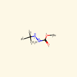 CCC(NNC(=O)OC(C)(C)C)(C(=O)O)C(C)C